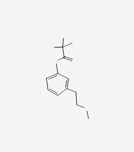 CSCCc1cccc(NC(=O)C(F)(F)F)c1